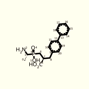 C[C@H](N)P(=O)(O)C[C@@H](Cc1ccc(-c2ccccc2)cc1)C(=O)O